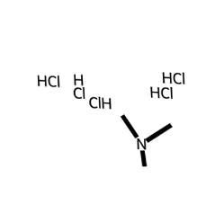 CN(C)C.Cl.Cl.Cl.Cl.Cl